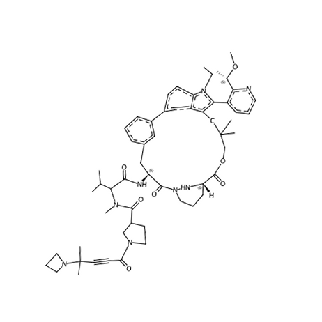 CCn1c(-c2cccnc2[C@H](C)OC)c2c3cc(ccc31)-c1cccc(c1)C[C@H](NC(=O)C(C(C)C)N(C)C(=O)C1CCN(C(=O)C#CC(C)(C)N3CCC3)C1)C(=O)N1CCC[C@H](N1)C(=O)OCC(C)(C)C2